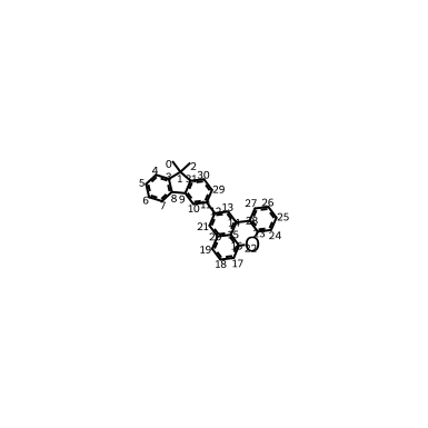 CC1(C)c2ccccc2-c2cc(-c3cc4c5c(cccc5c3)Oc3ccccc3-4)ccc21